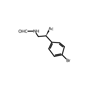 CC(=O)[C@H](CNC=O)c1ccc(Br)cc1